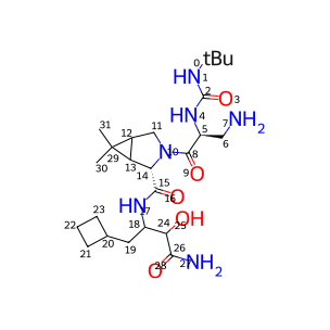 CC(C)(C)NC(=O)N[C@@H](CN)C(=O)N1CC2C([C@H]1C(=O)NC(CC1CCC1)C(O)C(N)=O)C2(C)C